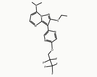 CCSc1nn2c(N(C)C)ccnc2c1-c1cnc(OCC(F)(F)C(F)(F)F)cn1